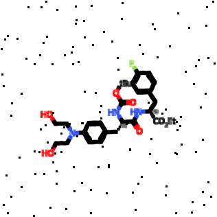 CCOC(=O)[C@H](Cc1ccc(F)cc1)NC(=O)[C@H](Cc1ccc(N(CCO)CCO)cc1)NC(=O)OC(C)(C)C